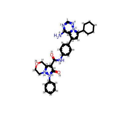 Nc1ncnn2c(C3CCCCC3)cc(-c3ccc(NC(=O)c4c5n(n(-c6ccccc6)c4=O)CCOC5)cc3)c12